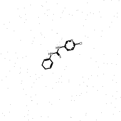 S=C(NC1=CC[CH]C=C1)Nc1ccc(Cl)nc1